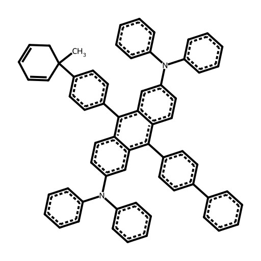 CC1(c2ccc(-c3c4ccc(N(c5ccccc5)c5ccccc5)cc4c(-c4ccc(-c5ccccc5)cc4)c4ccc(N(c5ccccc5)c5ccccc5)cc34)cc2)C=CC=CC1